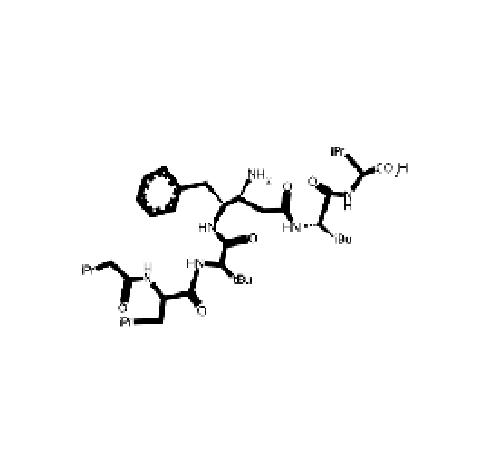 CC[C@H](C)[C@H](NC(=O)C[C@H](N)[C@H](Cc1ccccc1)NC(=O)C(NC(=O)C(CC(C)C)NC(=O)CC(C)C)C(C)(C)C)C(=O)NC(C(=O)O)C(C)C